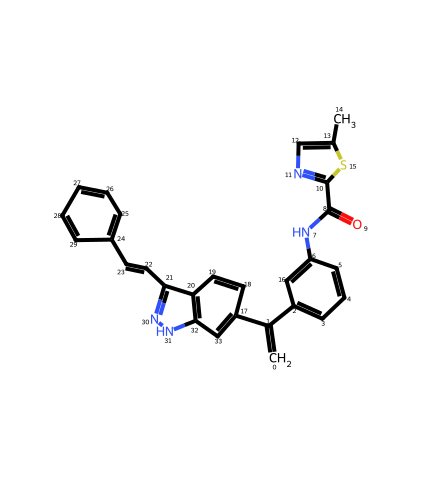 C=C(c1cccc(NC(=O)c2ncc(C)s2)c1)c1ccc2c(C=Cc3ccccc3)n[nH]c2c1